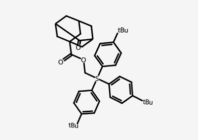 CC(C)(C)c1ccc(S(COC(=O)C23CC4CC(C2)C(=O)C(C4)C3)(c2ccc(C(C)(C)C)cc2)c2ccc(C(C)(C)C)cc2)cc1